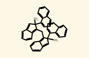 CC1(c2cccc3ccccc23)C=c2ccccc2=C1CC1=c2ccccc2=CC1(C)c1cccc2ccccc12